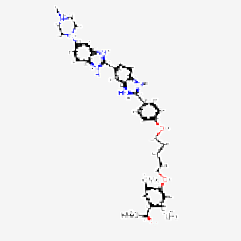 COC(=O)c1cc(OC)c(OCCCCCOc2ccc(-c3nc4ccc(-c5nc6cc(N7CCN(C)CC7)ccc6[nH]5)cc4[nH]3)cc2)cc1[N+](=O)[O-]